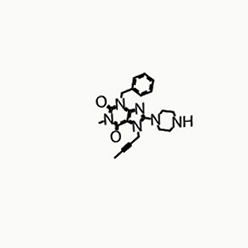 CC#CCn1c(N2CCNCC2)nc2c1c(=O)n(C)c(=O)n2Cc1ccccc1